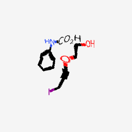 O=C(O)Nc1ccccc1.OCCOC#CCI